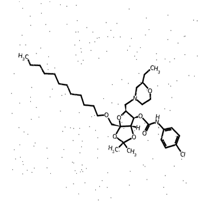 CCCCCCCCCCCCOC[C@@]12O[C@@H](CN3CCOC(CC)C3)[C@@H](OC(=O)Nc3ccc(Cl)cc3)[C@@H]1OC(C)(C)O2